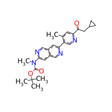 Cc1cc(C(=O)CC2CC2)ncc1-c1cc2cnc(N(C)C(=O)OC(C)(C)C)cc2cn1